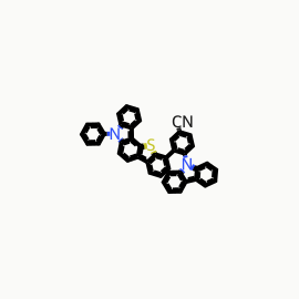 N#Cc1ccc(-n2c3ccccc3c3ccccc32)c(-c2cccc3c2sc2c3ccc3c2c2ccccc2n3-c2ccccc2)c1